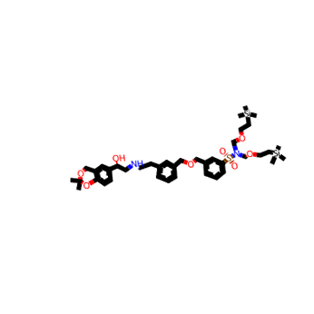 CC1(C)OCc2cc([C@H](O)CNCCc3cccc(COCc4cccc(S(=O)(=O)N(COCC[Si](C)(C)C)COCC[Si](C)(C)C)c4)c3)ccc2O1